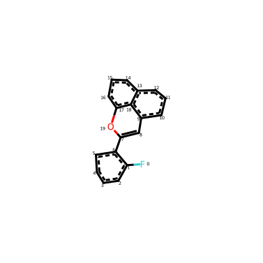 Fc1ccccc1C1=Cc2cccc3cccc(c23)O1